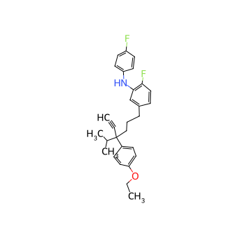 C#CC(CCCc1ccc(F)c(Nc2ccc(F)cc2)c1)(c1ccc(OCC)cc1)C(C)C